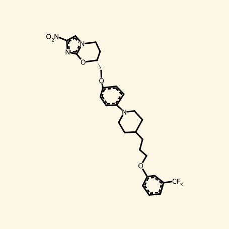 O=[N+]([O-])c1cn2c(n1)O[C@@H](COc1ccc(N3CCC(CCCOc4cccc(C(F)(F)F)c4)CC3)cc1)CC2